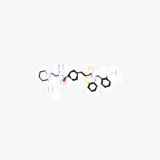 Cc1ccccc1CN1C(=O)C(=Cc2ccc(C(=O)NCCN3CCCCC3C)cc2)Sc2ccccc21